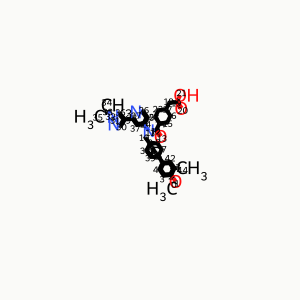 COc1ccc(C23CCC(CN(C(=O)C4CCC(CC(=O)O)CC4)c4ccnc(-c5cnn(C(C)C)c5)c4)(CC2)CC3)cc1C